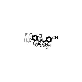 Cc1c(C(F)(F)F)cc(Cl)c(N(N=C(C#N)c2ccc(C#N)cc2)C(=O)C(=O)O)c1Cl